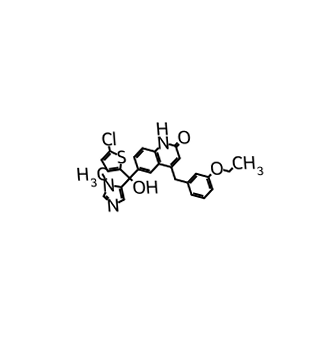 CCOc1cccc(Cc2cc(=O)[nH]c3ccc(C(O)(c4ccc(Cl)s4)c4cncn4C)cc23)c1